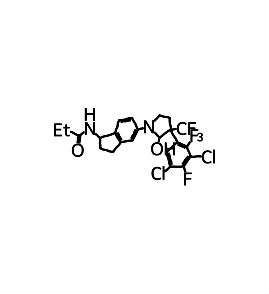 CCC(=O)NC1CCc2cc(N3CCC(c4cc(Cl)c(F)c(Cl)c4F)(C(F)(F)F)C3O)ccc21